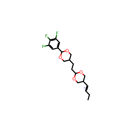 CC/C=C/C1COC(CCC2COC(c3cc(F)c(F)c(F)c3)OC2)OC1